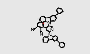 N#Cc1cccc(-c2cc(-n3c4ccccc4c4cc(-c5ccccc5)ccc43)ncc2-n2c3ccccc3c3cc(-c4ccccc4)ccc32)c1C#N